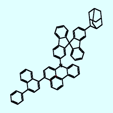 c1ccc(-c2ccccc2N(c2ccc(-c3ccc(-c4ccccc4)c4ccccc34)cc2)c2ccc3c(c2)C2(c4ccccc4-c4cc(C5C6CC7CC(C6)CC5C7)ccc42)c2ccccc2-3)cc1